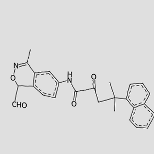 CC1=NOC(C=O)c2ccc(NC(=O)C(=O)CC(C)(C)c3cccc4ccccc34)cc21